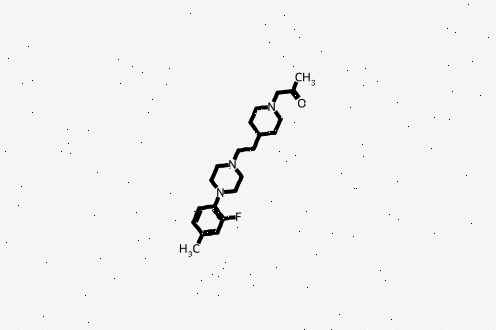 CC(=O)CN1CCC(CCN2CCN(c3ccc(C)cc3F)CC2)CC1